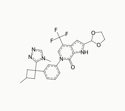 CC1CC(c2cccc(-n3cc(C(F)(F)F)c4cc(C5OCCO5)[nH]c4c3=O)c2)(c2nncn2C)C1